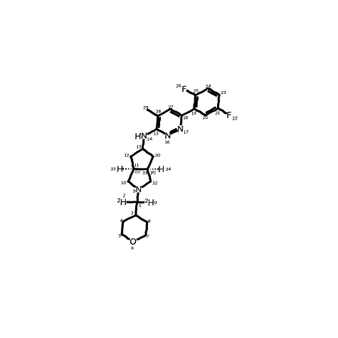 [2H]C([2H])(C1CCOCC1)N1C[C@H]2CC(Nc3nnc(-c4cc(F)ccc4F)cc3C)C[C@H]2C1